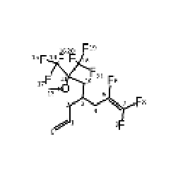 C=CCC(CC(F)=C(F)F)CC(OC)(C(F)(F)F)C(F)(F)F